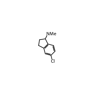 CNC1CCc2cc(Cl)ccc21